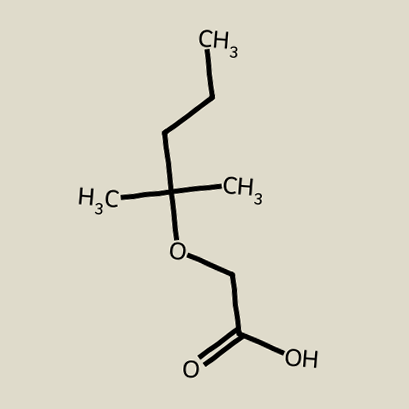 CCCC(C)(C)OCC(=O)O